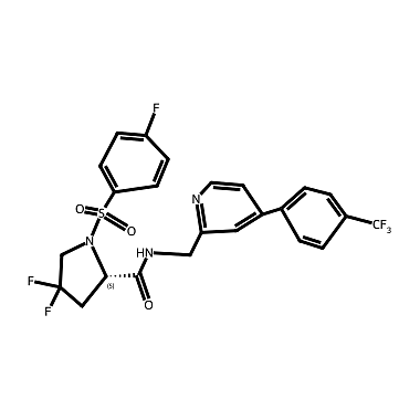 O=C(NCc1cc(-c2ccc(C(F)(F)F)cc2)ccn1)[C@@H]1CC(F)(F)CN1S(=O)(=O)c1ccc(F)cc1